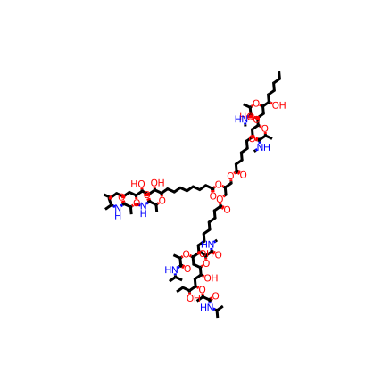 CCCCCC(O)C(CC(O)C(CCCCCCCC(=O)OCC(COC(=O)CCCCCCCC(O)C(CC(OC(C)C(=O)NC)C(O)CC(OC(C)C(=O)NC(C)C)C(O)CC)OC(C)C(=O)NC(C)C)OC(=O)CCCCCCCC(OC(C)C(=O)NC)C(O)CC(O)C(CCCCC)OC(C)C(=O)NC(C)C)OC(C)C(=O)NC)OC(C)C(=O)NC